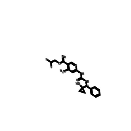 N=C(OCC(F)F)c1cnc(NC(=O)N[C@@H](c2ccccc2)C2(O)CC2)cc1N